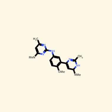 CNc1cc(C)nc(Nc2ccc(OC)c(C3=CC(NC)NC(C)=N3)c2)n1